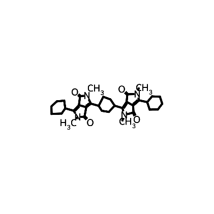 CN1C(=O)C2=C(C3CCC(C4=C5C(=O)N(C)C(C6CCCCC6)=C5C(=O)N4C)CC3)N(C)C(=O)C2=C1C1CCCCC1